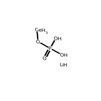 O=P(O)(O)[O][GeH3].[LiH]